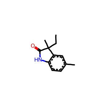 CCC1(C)C(=O)Nc2ccc(C)cc21